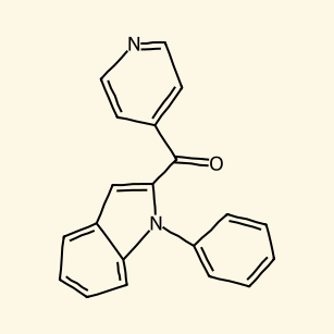 O=C(c1ccncc1)c1cc2ccccc2n1-c1ccccc1